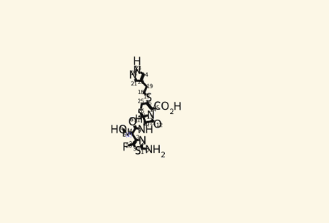 Nc1nc(/C(=N/O)C(=O)N[C@@H]2C(=O)N3C(C(=O)O)=C(SCCc4cn[nH]c4)CS[C@@H]23)c(F)s1